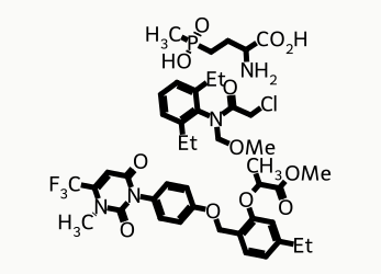 CCc1ccc(COc2ccc(-n3c(=O)cc(C(F)(F)F)n(C)c3=O)cc2)c(OC(C)C(=O)OC)c1.CCc1cccc(CC)c1N(COC)C(=O)CCl.CP(=O)(O)CCC(N)C(=O)O